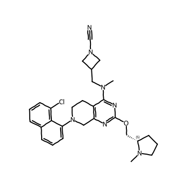 CN(CC1CN(C#N)C1)c1nc(OC[C@@H]2CCCN2C)nc2c1CCN(c1cccc3cccc(Cl)c13)C2